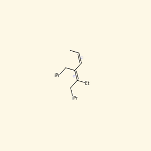 C/C=C\C(CC(C)C)=C(/CC)CC(C)C